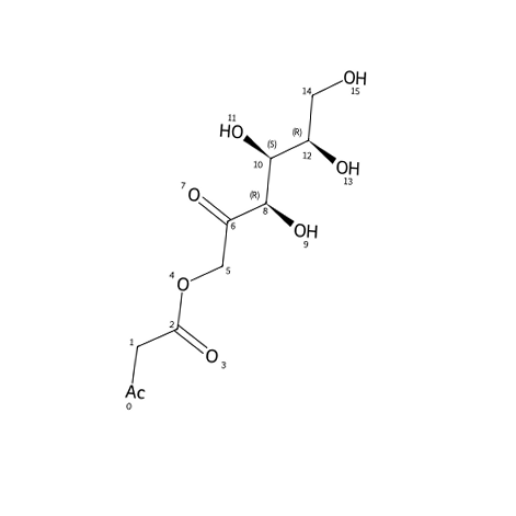 CC(=O)CC(=O)OCC(=O)[C@H](O)[C@@H](O)[C@H](O)CO